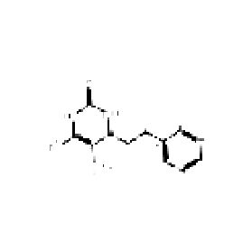 CCOC(=O)C1=C(C(C)(C)C)NC(=S)NC1CCc1ccccc1